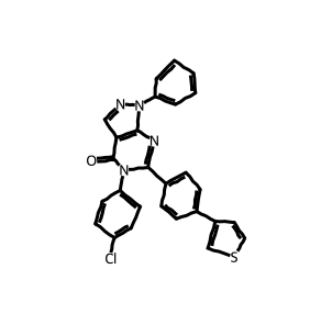 O=c1c2cnn(-c3ccccc3)c2nc(-c2ccc(-c3ccsc3)cc2)n1-c1ccc(Cl)cc1